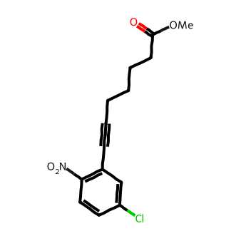 COC(=O)CCCCC#Cc1cc(Cl)ccc1[N+](=O)[O-]